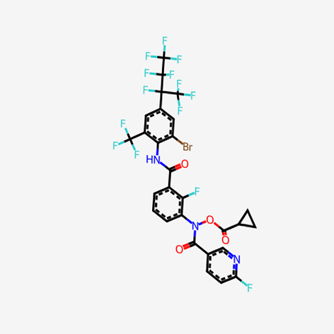 O=C(Nc1c(Br)cc(C(F)(C(F)(F)F)C(F)(F)C(F)(F)F)cc1C(F)(F)F)c1cccc(N(OC(=O)C2CC2)C(=O)c2ccc(F)nc2)c1F